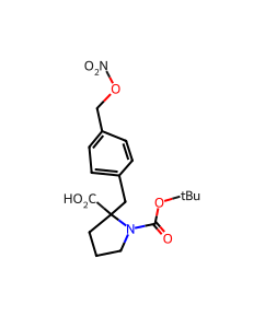 CC(C)(C)OC(=O)N1CCCC1(Cc1ccc(CO[N+](=O)[O-])cc1)C(=O)O